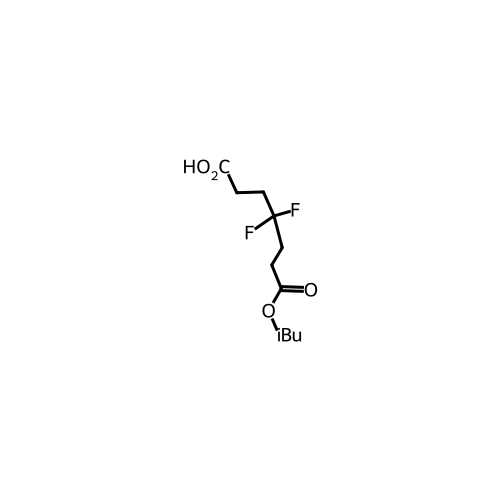 CCC(C)OC(=O)CCC(F)(F)CCC(=O)O